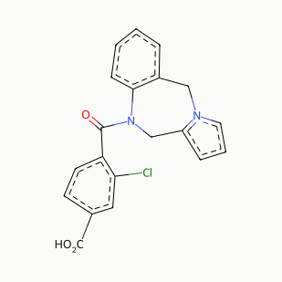 O=C(O)c1ccc(C(=O)N2Cc3cccn3Cc3ccccc32)c(Cl)c1